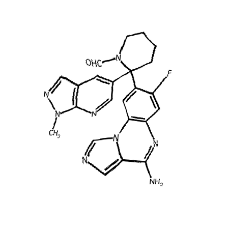 Cn1ncc2cc(C3(c4cc5c(cc4F)nc(N)c4cncn45)CCCCN3C=O)cnc21